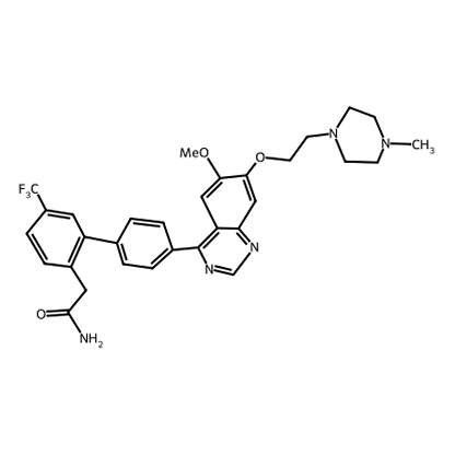 COc1cc2c(-c3ccc(-c4cc(C(F)(F)F)ccc4CC(N)=O)cc3)ncnc2cc1OCCN1CCN(C)CC1